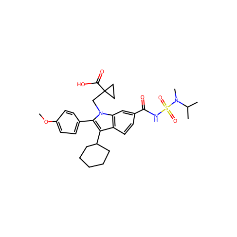 COc1ccc(-c2c(C3CCCCC3)c3ccc(C(=O)NS(=O)(=O)N(C)C(C)C)cc3n2CC2(C(=O)O)CC2)cc1